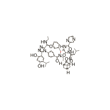 CCNC(=O)c1nnc(-c2cc(C(C)C)c(O)cc2O)n1-c1ccc(C(=O)N(C)CC[C@]23OB([C@H](CC(C)C)NC(=O)[C@H](Cc4ccccc4)NC(=O)c4cnccn4)O[C@H]2C[C@H]2C[C@@H]3C2(C)C)cc1